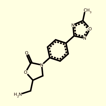 Cc1nc(-c2ccc(N3CC(CN)OC3=O)cc2)no1